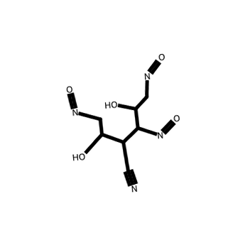 N#CC(C(O)CN=O)C(N=O)C(O)CN=O